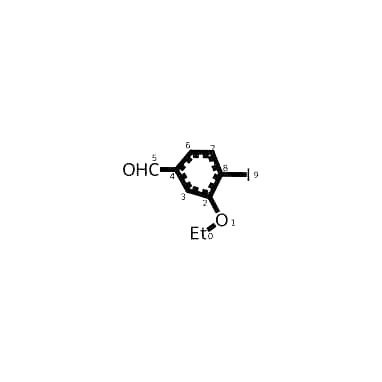 CCOc1cc(C=O)ccc1I